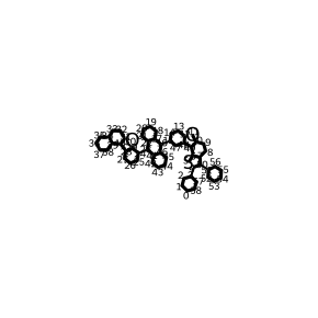 c1ccc(-c2sc3c(ccc4oc5ccc(-c6c7ccccc7c(-c7cccc8c7oc7ccc9ccccc9c78)c7ccccc67)cc5c43)c2-c2ccccc2)cc1